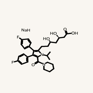 CC(C)n1c(CC[C@@H](O)C[C@@H](O)CC(=O)O)c(-c2ccc(F)cc2)c(-c2ccc(F)cc2)c1C(=O)N1CCCCC1.[NaH]